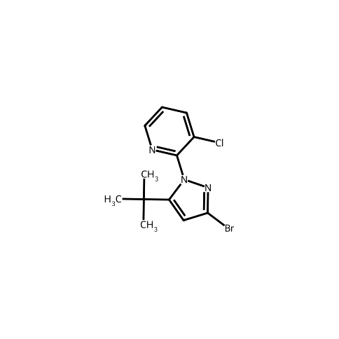 CC(C)(C)c1cc(Br)nn1-c1ncccc1Cl